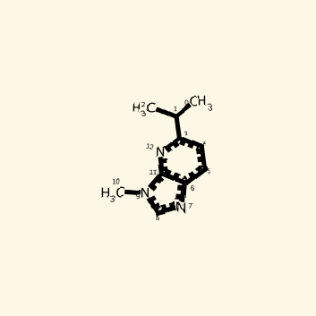 CC(C)c1ccc2ncn(C)c2n1